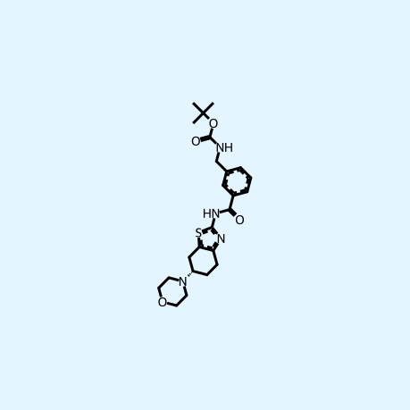 CC(C)(C)OC(=O)NCc1cccc(C(=O)Nc2nc3c(s2)C[C@@H](N2CCOCC2)CC3)c1